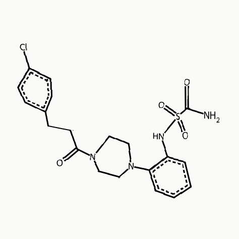 NC(=O)S(=O)(=O)Nc1ccccc1N1CCN(C(=O)[CH]Cc2ccc(Cl)cc2)CC1